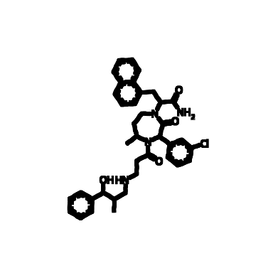 CC(CNCCC(=O)N1C(C)CCN(C(Cc2cccc3ccccc23)C(N)=O)C(=O)C1c1cccc(Cl)c1)C(O)c1ccccc1